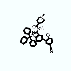 CN1CCC(C(=O)Nc2nn(C(c3ccccc3)(c3ccccc3)c3ccccc3)c3ccc(-c4cc(C#N)ccc4Cl)cc23)CC1